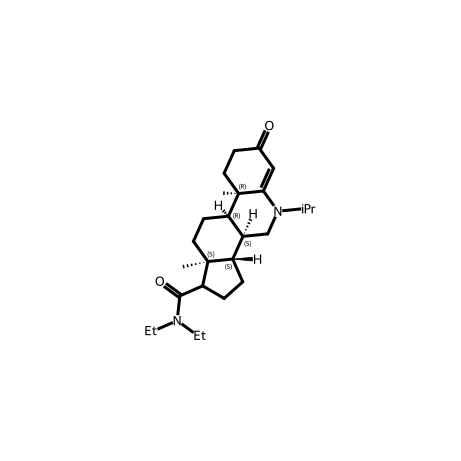 CCN(CC)C(=O)C1CC[C@H]2[C@@H]3CN(C(C)C)C4=CC(=O)CC[C@]4(C)[C@@H]3CC[C@]12C